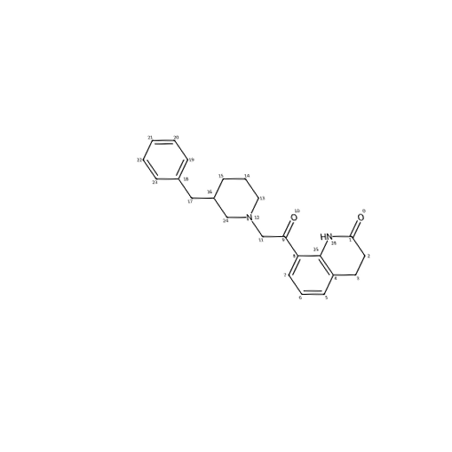 O=C1CCc2cccc(C(=O)CN3CCCC(Cc4ccccc4)C3)c2N1